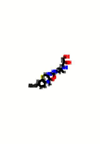 [CH2]N1C(=O)[C@H](NC(=O)NCC(C)(C)NC[C@H](O)CO)CSc2cc(OC)ccc21